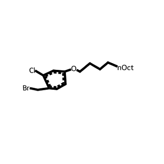 CCCCCCCCCCCCOc1ccc(CBr)c(Cl)c1